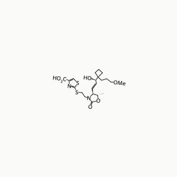 COCCCC1([C@H](O)C=C[C@H]2[C@H](C)OC(=O)N2CCSc2nc(C(=O)O)cs2)CCC1